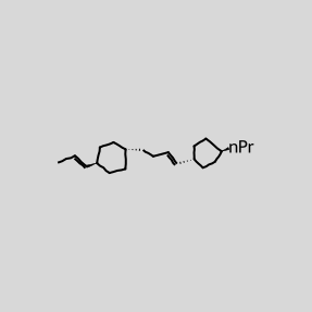 CC=C[C@H]1CC[C@H](CCC=C[C@H]2CC[C@H](CCC)CC2)CC1